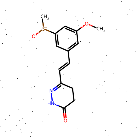 COc1cc(C=CC2=NNC(=O)CC2)cc([S+](C)[O-])c1